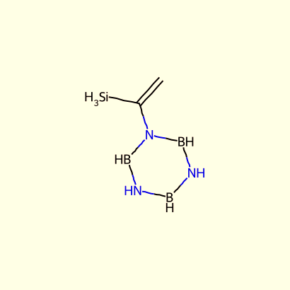 C=C([SiH3])N1BNBNB1